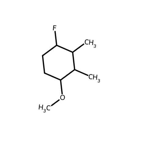 COC1CCC(F)C(C)C1C